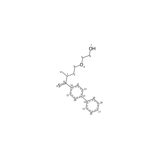 CC(CCOCCO)C(=S)c1ccc(-c2ccccc2)cc1